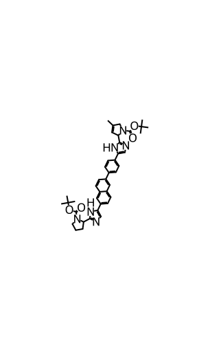 CC1=CC(c2ncc(-c3ccc(-c4ccc5cc(-c6cnc(C7CCCN7C(=O)OC(C)(C)C)[nH]6)ccc5c4)cc3)[nH]2)N(C(=O)OC(C)(C)C)C1